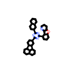 c1ccc2cc(-c3nc(-c4ccc5c(c4)-c4cccc6cccc-5c46)nc(-c4cccc5oc6cccnc6c45)n3)ccc2c1